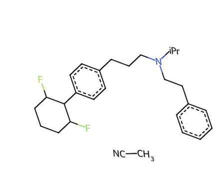 CC#N.CC(C)N(CCCc1ccc(C2C(F)CCCC2F)cc1)CCc1ccccc1